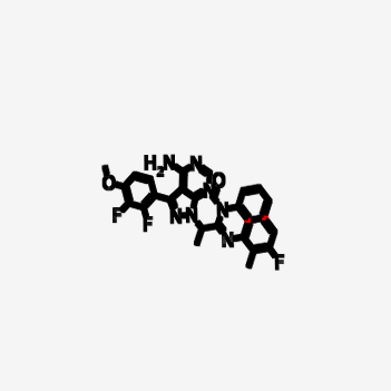 COc1ccc(-c2nn(C(C)/C(=N/c3cccc(F)c3C)N(C=O)c3ccccc3)c3ncnc(N)c23)c(F)c1F